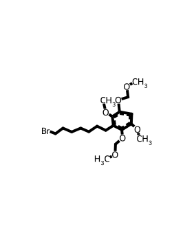 COCOc1cc(OC)c(OCOC)c(CCCCCCCBr)c1OC